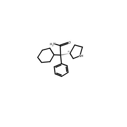 NC(=O)C(c1ccccc1)(C1CCCCC1)[C@@H]1CCNC1